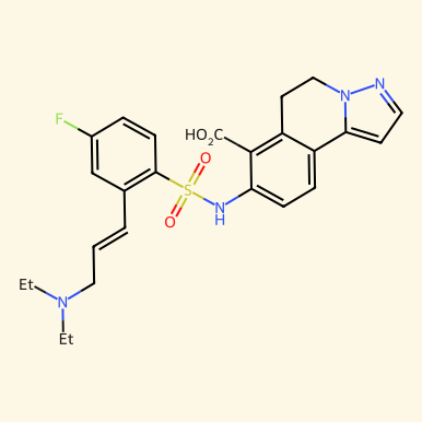 CCN(CC)CC=Cc1cc(F)ccc1S(=O)(=O)Nc1ccc2c(c1C(=O)O)CCn1nccc1-2